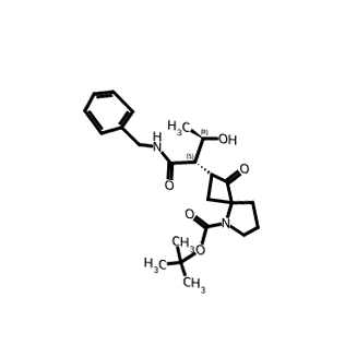 C[C@@H](O)[C@@H](C(=O)NCc1ccccc1)C1CC2(CCCN2C(=O)OC(C)(C)C)C1=O